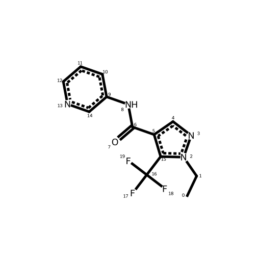 CCn1ncc(C(=O)Nc2cccnc2)c1C(F)(F)F